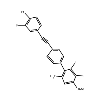 CCc1ccc(C#Cc2ccc(-c3c(C)cc(OC)c(F)c3F)cc2)cc1F